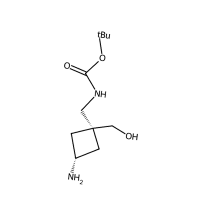 CC(C)(C)OC(=O)NC[C@]1(CO)C[C@H](N)C1